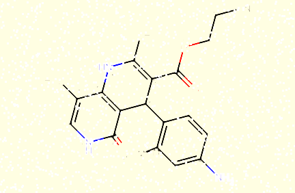 COc1cc(N)ccc1C1C(C(=O)OCCC#N)=C(C)Nc2c(C)c[nH]c(=O)c21